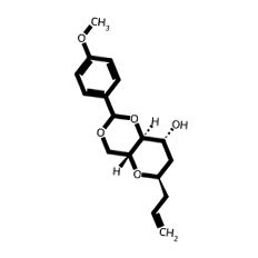 C=CC[C@@H]1C[C@@H](O)[C@@H]2OC(c3ccc(OC)cc3)OC[C@H]2O1